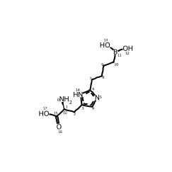 N[C@@H](Cc1cnc(CCCCB(O)O)[nH]1)C(=O)O